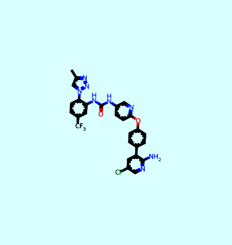 Cc1cn(-c2ccc(C(F)(F)F)cc2NC(=O)Nc2ccc(Oc3ccc(-c4cc(Cl)cnc4N)cc3)nc2)nn1